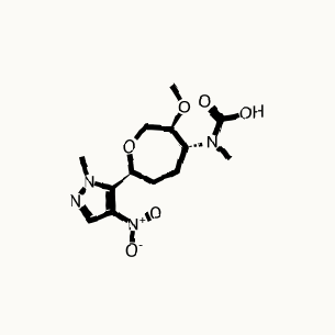 CO[C@@H]1CO[C@H](c2c([N+](=O)[O-])cnn2C)CC[C@H]1N(C)C(=O)O